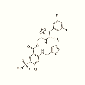 CC(COC(=O)c1cc(S(N)(=O)=O)c(Cl)cc1NCc1ccco1)N[C@@H](C)[C@H](O)c1cc(F)cc(F)c1